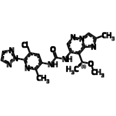 CO[C@@H](C)c1c(NC(=O)Nc2cc(Cl)c(-n3nccn3)nc2C)cnn2cc(C)nc12